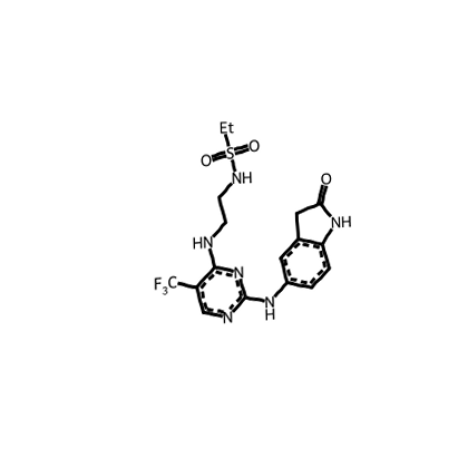 CCS(=O)(=O)NCCNc1nc(Nc2ccc3c(c2)CC(=O)N3)ncc1C(F)(F)F